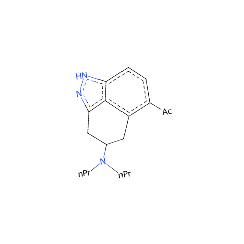 CCCN(CCC)C1Cc2n[nH]c3ccc(C(C)=O)c(c23)C1